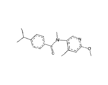 COc1cc(C)c(N(C)C(=O)c2ccc(C(C)C)cc2)cn1